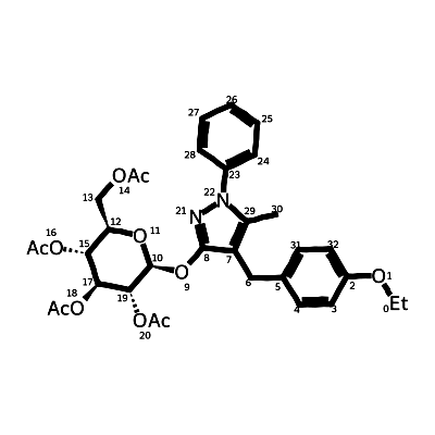 CCOc1ccc(Cc2c(O[C@@H]3O[C@H](COC(C)=O)[C@@H](OC(C)=O)[C@H](OC(C)=O)[C@H]3OC(C)=O)nn(-c3ccccc3)c2C)cc1